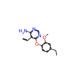 C=Cc1c(N)ncnc1Oc1ccc(CC)cc1OC